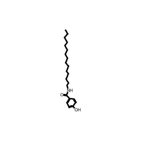 CCCCCCCCCCCCCCCNC(=O)c1ccc(O)cc1